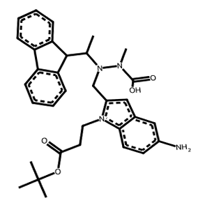 CC(C1c2ccccc2-c2ccccc21)N(Cc1cc2cc(N)ccc2n1CCC(=O)OC(C)(C)C)N(C)C(=O)O